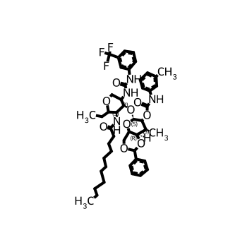 CCCCCCCCCCC(=O)N[C@H]1C(CC)OCC(NC(=O)Nc2cccc(C(F)(F)F)c2)[C@H]1O[C@H]1OC2COC(c3ccccc3)O[C@@H]2[C@H](C)C1OC(=O)Nc1cccc(C)c1